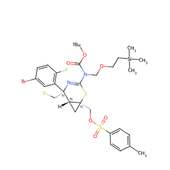 Cc1ccc(S(=O)(=O)OC[C@]23C[C@@H]2[C@@](CF)(c2cc(Br)ccc2F)N=C(N(COCC[Si](C)(C)C)C(=O)OC(C)(C)C)S3)cc1